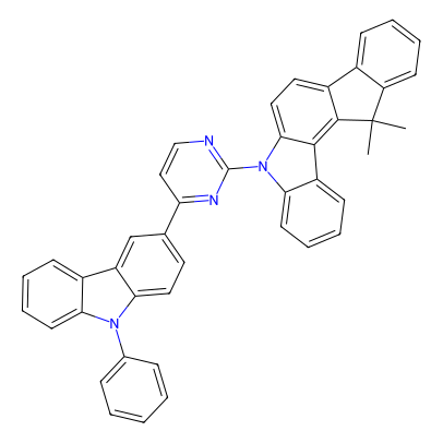 CC1(C)c2ccccc2-c2ccc3c(c21)c1ccccc1n3-c1nccc(-c2ccc3c(c2)c2ccccc2n3-c2ccccc2)n1